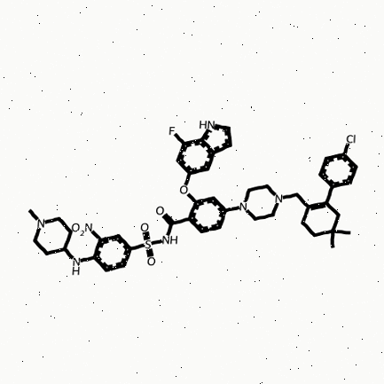 CN1CCC(Nc2ccc(S(=O)(=O)NC(=O)c3ccc(N4CCN(CC5=C(c6ccc(Cl)cc6)CC(C)(C)CC5)CC4)cc3Oc3cc(F)c4[nH]ccc4c3)cc2[N+](=O)[O-])CC1